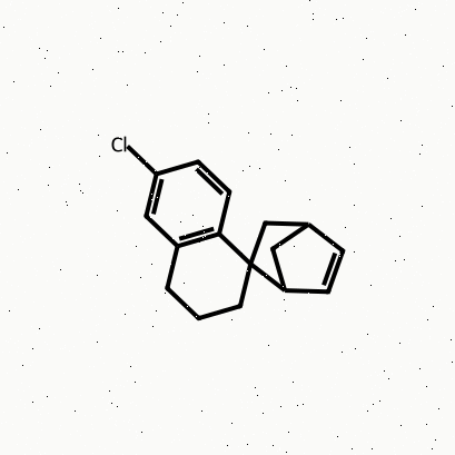 Clc1ccc2c(c1)CCCC21CC2C=CC1C2